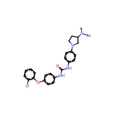 CC(=O)N(C)C1CCN(c2ccc(NC(=O)Nc3ccc(Oc4ccccc4Cl)cc3)cc2)C1